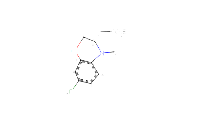 CCOC(=O)C[C@H]1COc2cc(F)ccc2N1C